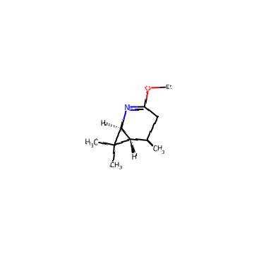 CCOC1=N[C@H]2[C@H](C(C)C1)C2(C)C